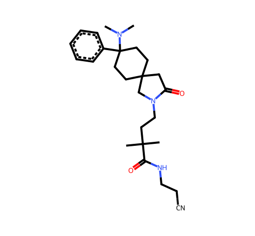 CN(C)C1(c2ccccc2)CCC2(CC1)CC(=O)N(CCC(C)(C)C(=O)NCCC#N)C2